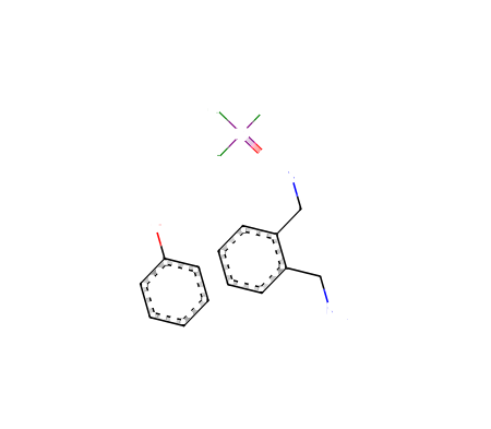 NCc1ccccc1CN.O=P(Cl)(Cl)Cl.Oc1ccccc1